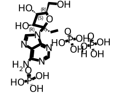 CC[C@@]1(n2cnc3c(N)ncnc32)O[C@H](CO)[C@@H](O)[C@H]1O.O=P(O)(O)O.O=P(O)(O)O.O=P(O)(O)O